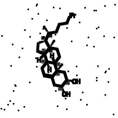 CC(C)CCC[C@@H](C)[C@H]1CC[C@H]2[C@@H]3CC=C4C[C@@H](O)[C@@H](O)C[C@]4(C)[C@H]3CC[C@]12C